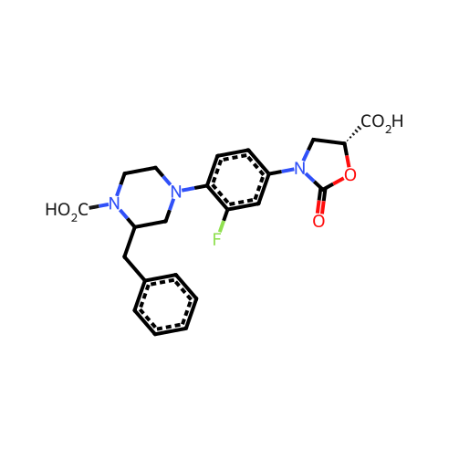 O=C(O)[C@H]1CN(c2ccc(N3CCN(C(=O)O)C(Cc4ccccc4)C3)c(F)c2)C(=O)O1